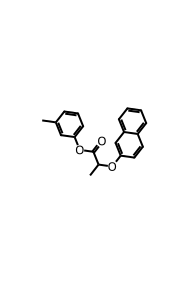 Cc1cccc(OC(=O)C(C)Oc2ccc3ccccc3c2)c1